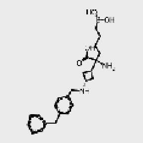 N[C@](CCCCB(O)O)(C(=O)O)[C@H]1C[C@H](NCc2ccc(Cc3ccccc3)cc2)C1